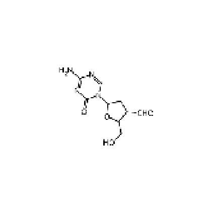 Nc1ncn(C2CC(C=O)C(CO)O2)c(=O)n1